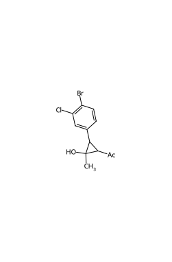 CC(=O)C1C(c2ccc(Br)c(Cl)c2)C1(C)O